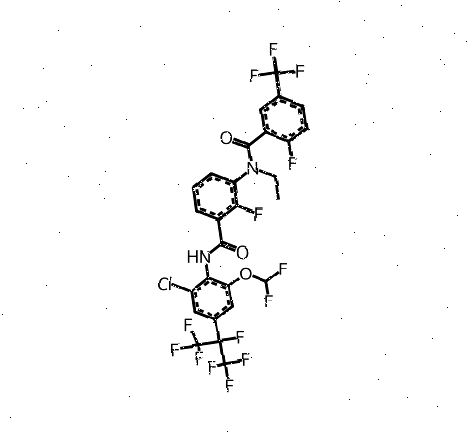 CCN(C(=O)c1cc(C(F)(F)F)ccc1F)c1cccc(C(=O)Nc2c(Cl)cc(C(F)(C(F)(F)F)C(F)(F)F)cc2OC(F)F)c1F